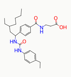 CCCCC(CC)CC(NC(=O)Nc1ccc(CC)cc1)c1ccc(C(=O)NCCC(=O)O)cc1